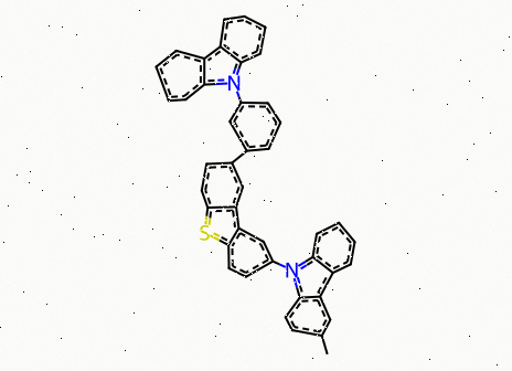 Cc1ccc2c(c1)c1ccccc1n2-c1ccc2sc3ccc(-c4cccc(-n5c6ccccc6c6ccccc65)c4)cc3c2c1